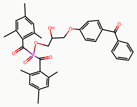 Cc1cc(C)c(C(=O)P(=O)(OCC(O)COc2ccc(C(=O)c3ccccc3)cc2)C(=O)c2c(C)cc(C)cc2C)c(C)c1